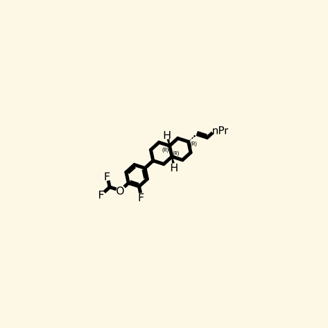 CCCC=C[C@@H]1CC[C@@H]2CC(c3ccc(OC(F)F)c(F)c3)CC[C@@H]2C1